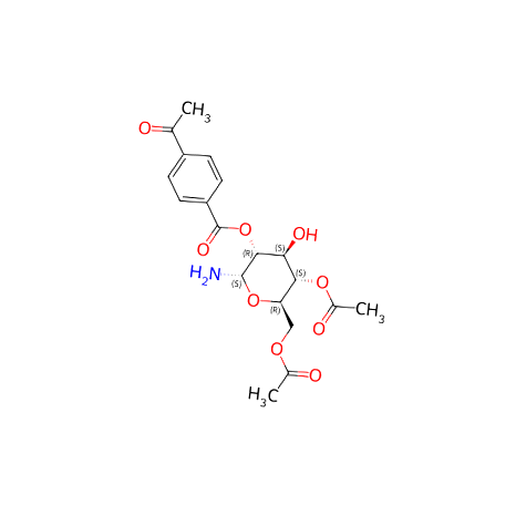 CC(=O)OC[C@H]1O[C@H](N)[C@H](OC(=O)c2ccc(C(C)=O)cc2)[C@@H](O)[C@@H]1OC(C)=O